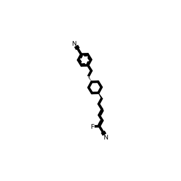 N#C/C(F)=C/C=C/CC[C@H]1CC[C@H](CCc2ccc(C#N)cc2)CC1